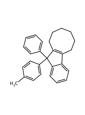 Cc1ccc(C2(c3ccccc3)C3=C(CCCCCC3)c3ccccc32)cc1